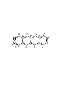 c1ccc2cc3cc4nnncc4cc3cc2c1